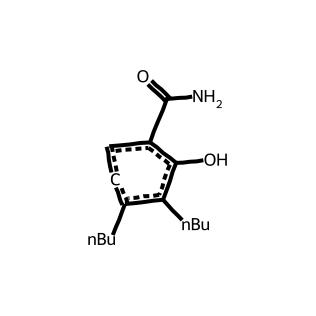 CCCCc1ccc(C(N)=O)c(O)c1CCCC